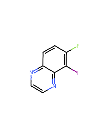 Fc1ccc2nccnc2c1I